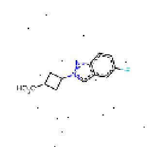 O=C(O)C1CC(n2cc3cc(F)ccc3n2)C1